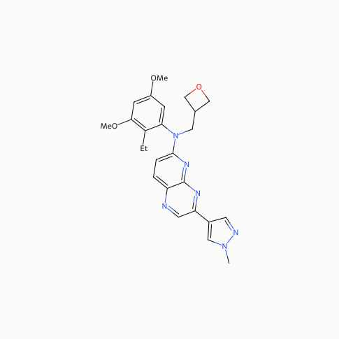 CCc1c(OC)cc(OC)cc1N(CC1COC1)c1ccc2ncc(-c3cnn(C)c3)nc2n1